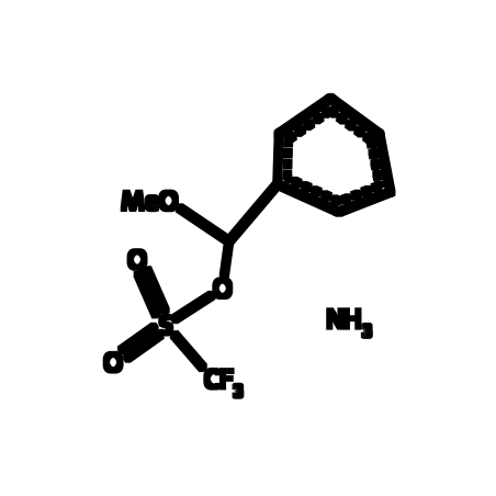 COC(OS(=O)(=O)C(F)(F)F)c1ccccc1.N